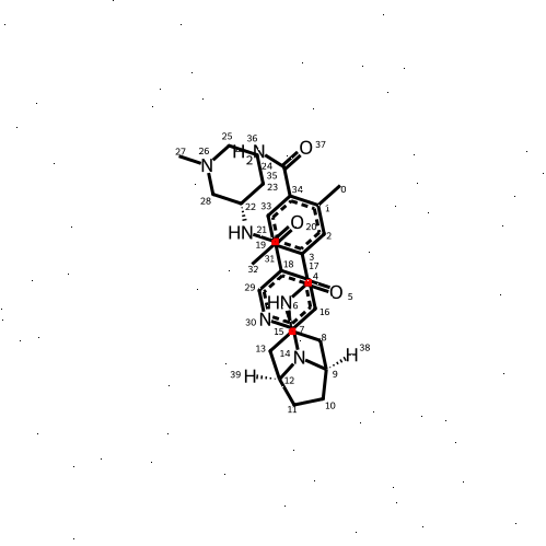 Cc1cc(C(=O)N[C@H]2C[C@H]3CC[C@@H](C2)N3c2ccc(C(=O)N[C@H]3CCCN(C)C3)cn2)c(C)cc1C(N)=O